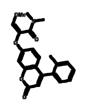 COC=C(Oc1ccc2c(-c3ccccc3C)cc(=O)oc2c1)C(=O)N(C)C